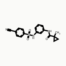 CC1(C(=O)Nc2cccc(NS(=O)(=O)c3ccc(C#N)cc3)c2)CC1